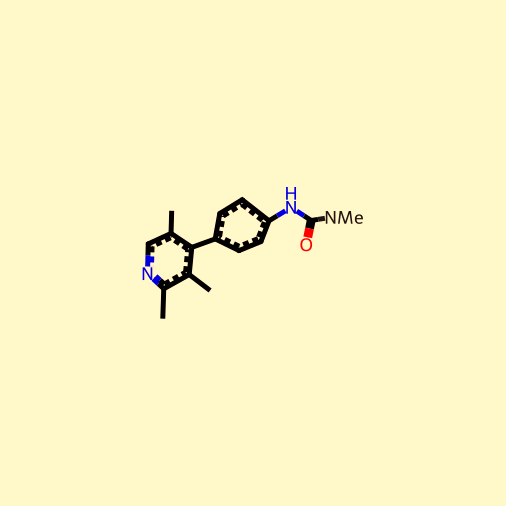 CNC(=O)Nc1ccc(-c2c(C)cnc(C)c2C)cc1